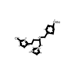 COc1ccc(CSC(CCc2ccc(Cl)s2)Cn2ccnc2)cc1